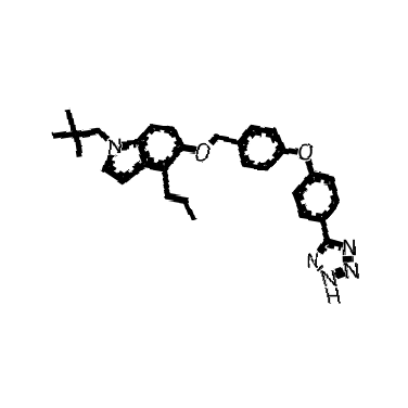 CCCc1c(OCc2ccc(Oc3ccc(-c4nn[nH]n4)cc3)cc2)ccc2c1ccn2CC(C)(C)C